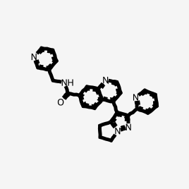 O=C(NCc1cccnc1)c1ccc2c(-c3c(-c4ccccn4)nn4c3CCC4)ccnc2c1